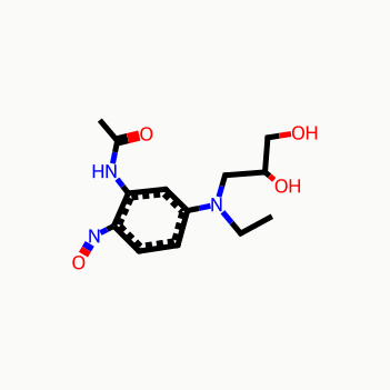 CCN(CC(O)CO)c1ccc(N=O)c(NC(C)=O)c1